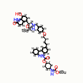 CC(C)(C)OC(=O)NC1CCC(OC(=O)Nc2ccc(/C=C/CCOc3ccc(CNC[C@@H](O[Si](C)(C)C(C)(C)C)c4ccc(O)c5[nH]c(=O)ccc45)cc3)cc2-c2ccccc2)CC1